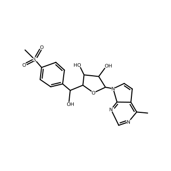 Cc1ncnc2c1ccn2C1OC(C(O)c2ccc(S(C)(=O)=O)cc2)C(O)C1O